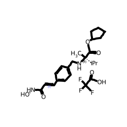 CC(C)[C@@](C)(NCc1ccc(/C=C/C(=O)NO)cc1)C(=O)OC1CCCC1.O=C(O)C(F)(F)F